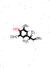 CC(C)(C)CC(C)(C)c1cc(C=O)c(O)c(C(C)(C)C)c1